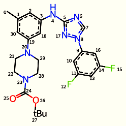 Cc1cc(Nc2ncn(-c3cc(F)cc(F)c3)n2)cc(N2CCN(C(=O)OC(C)(C)C)CC2)c1